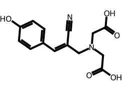 N#C/C(=C\c1ccc(O)cc1)CN(CC(=O)O)CC(=O)O